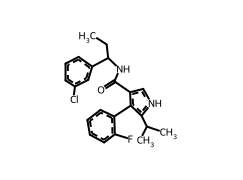 CCC(NC(=O)c1c[nH]c(C(C)C)c1-c1ccccc1F)c1cccc(Cl)c1